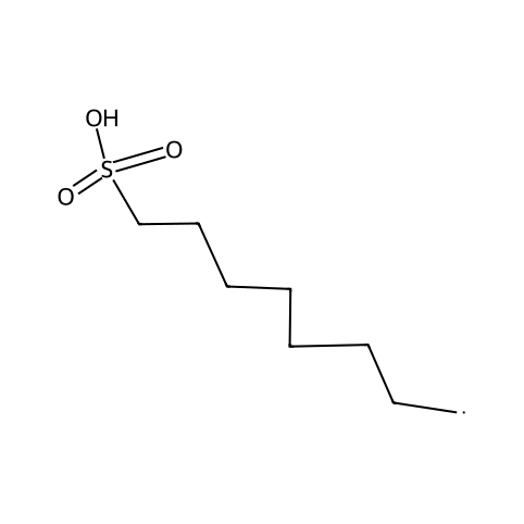 [CH2]CCCCCCCS(=O)(=O)O